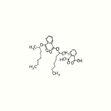 CCCCCCC(C)OC(=O)c1ccccc1C(=O)OC(C)CCCCCC.O=C(O)c1ccccc1C(=O)O